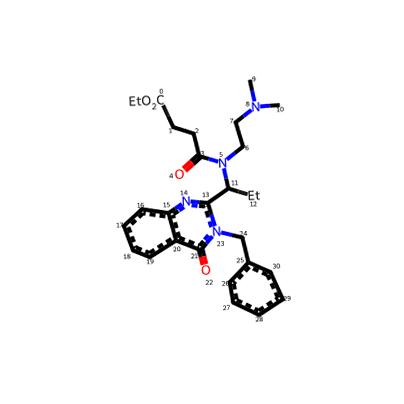 CCOC(=O)CCC(=O)N(CCN(C)C)C(CC)c1nc2ccccc2c(=O)n1Cc1ccccc1